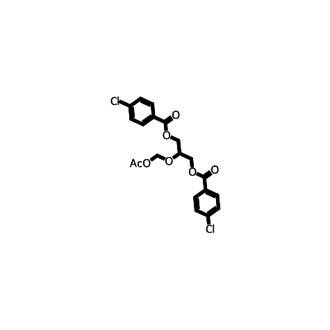 CC(=O)OCOC(COC(=O)c1ccc(Cl)cc1)COC(=O)c1ccc(Cl)cc1